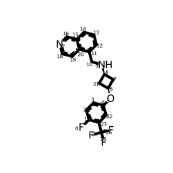 Fc1ccc(O[C@H]2C[C@H](NCc3cccc4cnccc34)C2)cc1C(F)(F)F